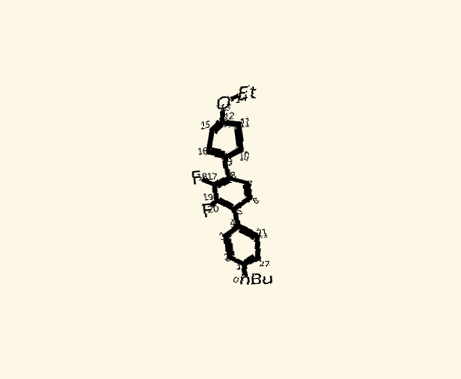 CCCCc1ccc(-c2ccc(-c3ccc(OCC)cc3)c(F)c2F)cc1